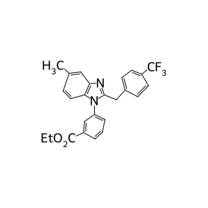 CCOC(=O)c1cccc(-n2c(Cc3ccc(C(F)(F)F)cc3)nc3cc(C)ccc32)c1